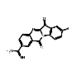 N=C(N)c1ccc2nc3n(c(=O)c2c1)-c1ccc(F)cc1C3=O